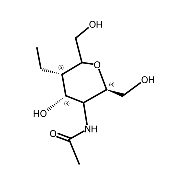 CC[C@@H]1C(CO)O[C@@H](CO)C(NC(C)=O)[C@@H]1O